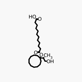 CC(CO)C1(OC(=O)CCCCCCCCCCC(=O)O)CCCCCCCCCC1